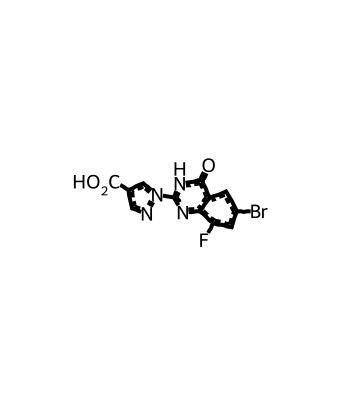 O=C(O)c1cnn(-c2nc3c(F)cc(Br)cc3c(=O)[nH]2)c1